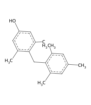 Cc1cc(C)c(Cc2c(C)cc(O)cc2C)c(C)c1